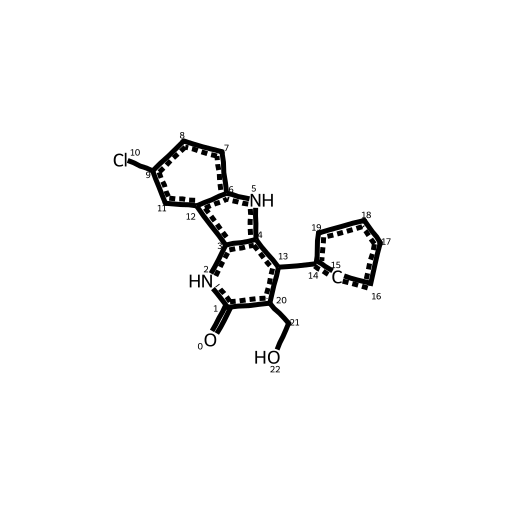 O=c1[nH]c2c([nH]c3ccc(Cl)cc32)c(-c2ccccc2)c1CO